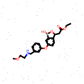 CCOC(=O)CC1OB(O)c2cc(Oc3cccc(CNCCOC)c3)ccc21